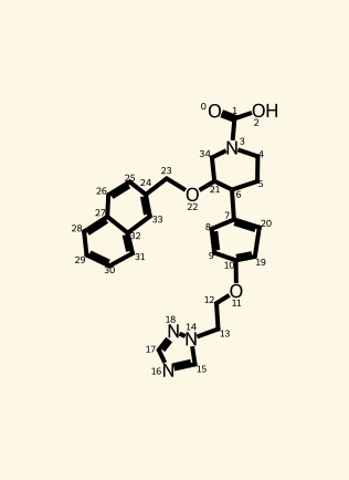 O=C(O)N1CCC(c2ccc(OCCn3cncn3)cc2)C(OCc2ccc3ccccc3c2)C1